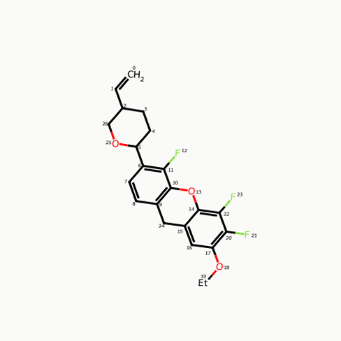 C=CC1CCC(c2ccc3c(c2F)Oc2c(cc(OCC)c(F)c2F)C3)OC1